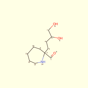 O=CC1(CCC(O)CO)CCCCCN1